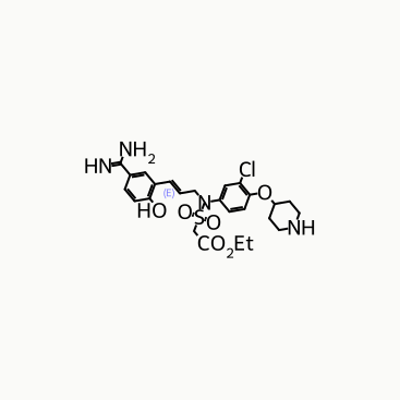 CCOC(=O)CS(=O)(=O)N(C/C=C/c1cc(C(=N)N)ccc1O)c1ccc(OC2CCNCC2)c(Cl)c1